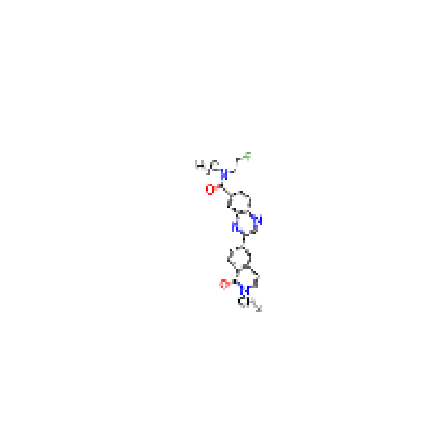 CN(CCF)C(=O)c1ccc2ncc(-c3ccc4c(=O)n(C)ccc4c3)nc2c1